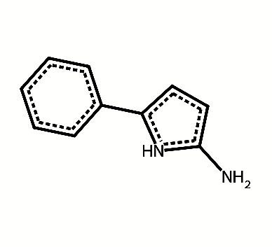 Nc1ccc(-c2ccccc2)[nH]1